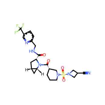 N#CC1CN(S(=O)(=O)N2CCC[C@H](C(=O)N3[C@@H](C(=O)NCc4ccc(C(F)(F)F)cn4)C[C@H]4C[C@H]43)C2)C1